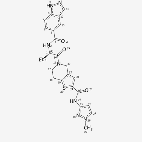 CC[C@@H](NC(=O)c1ccc2[nH]ncc2c1)C(=O)N1CCc2sc(C(=O)Nc3ccn(C)n3)cc2C1